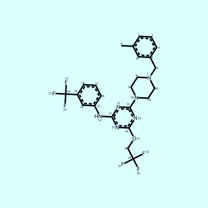 Cc1cccc(CN2CCN(c3nc(Nc4cccc(C(F)(F)F)c4)nc(OCC(F)(F)F)n3)CC2)c1